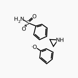 C1CN1.NS(=O)(=O)c1ccccc1.[O]c1ccccc1